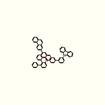 c1ccc(-c2ccccc2-c2c(-c3ccccc3)cccc2N(c2ccc(-c3cccc(-n4c5ccccc5c5ccccc54)c3)cc2)c2ccc(-c3ccc4c(ccc5ccccc54)c3)cc2)cc1